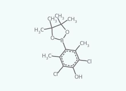 Cc1c(Cl)c(O)c(Cl)c(C)c1B1OC(C)(C)C(C)(C)O1